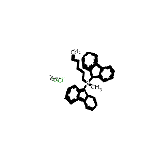 C=CCCCC[Si](C)(C1=c2ccccc2=C2C=CC=CC21)C1c2ccccc2-c2ccccc21.[Cl-].[Cl-].[Zr+2]